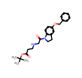 CC(C)(C)OC(=O)CCNCC(=O)N1CCc2cc(OCc3ccccc3)ccc21